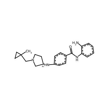 CC1(CN2CC[C@@H](Nc3ccc(C(=O)Nc4ccccc4N)cc3)C2)CC1